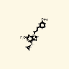 COc1cccc(CCCn2cnc3c(NC4CC4)nc(C(F)(F)F)nc32)c1